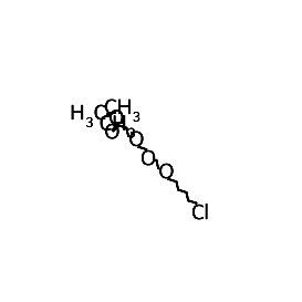 CC(C)(C)OC(=O)CCOCCOCCOCCCCCCCl